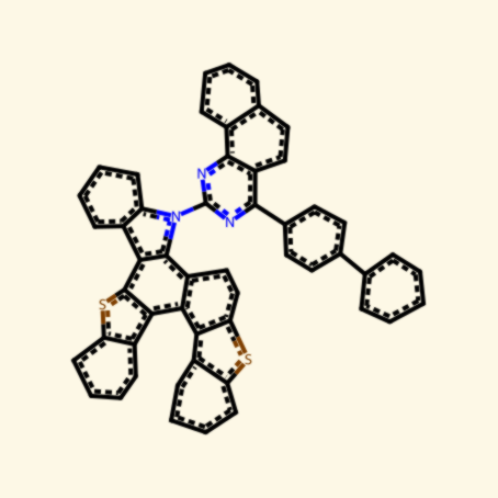 c1ccc(-c2ccc(-c3nc(-n4c5ccccc5c5c6sc7ccccc7c6c6c(ccc7sc8ccccc8c76)c54)nc4c3ccc3ccccc34)cc2)cc1